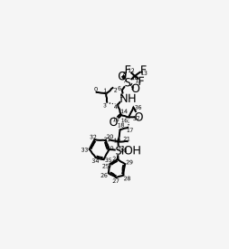 CC(C)C[C@H](NCS(=O)(=O)C(F)(F)F)C(=O)[C@@]1(CCC(C)(C)[Si](O)(c2ccccc2)c2ccccc2)CO1